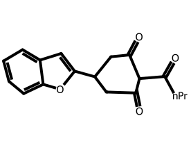 CCCC(=O)C1C(=O)CC(c2cc3ccccc3o2)CC1=O